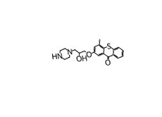 Cc1cc(OCC(O)CN2CCNCC2)cc2c(=O)c3ccccc3sc12